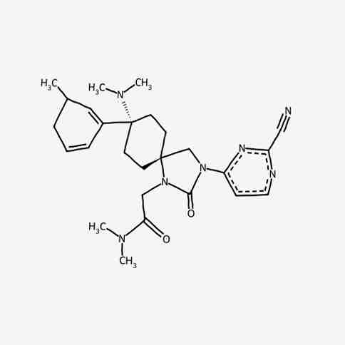 CC1C=C([C@]2(N(C)C)CC[C@@]3(CC2)CN(c2ccnc(C#N)n2)C(=O)N3CC(=O)N(C)C)C=CC1